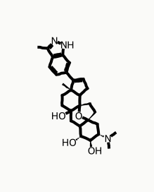 Cc1n[nH]c2cc(C3=CCC4[C@@]56CC[C@]7(C[C@H](N(C)C)[C@@H](O)[C@H](O)C7CC5(O)CC[C@]34C)O6)ccc12